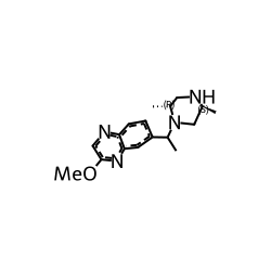 COc1cnc2ccc(C(C)N3C[C@H](C)NC[C@H]3C)cc2n1